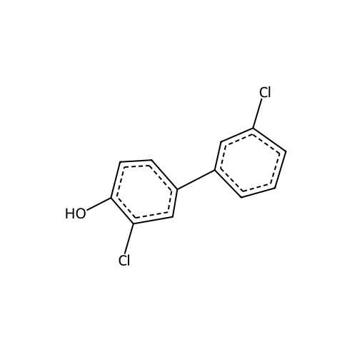 Oc1ccc(-c2cccc(Cl)c2)cc1Cl